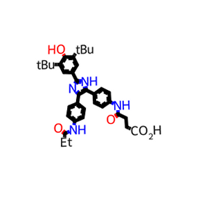 CCC(=O)Nc1ccc(-c2nc(-c3cc(C(C)(C)C)c(O)c(C(C)(C)C)c3)[nH]c2-c2ccc(NC(=O)CCC(=O)O)cc2)cc1